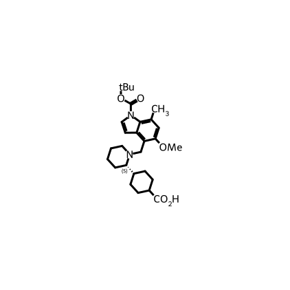 COc1cc(C)c2c(ccn2C(=O)OC(C)(C)C)c1CN1CCCC[C@H]1C1CCC(C(=O)O)CC1